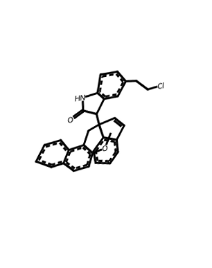 COc1ccc2ccccc2c1CC1(C2C(=O)Nc3ccc(CCCl)cc32)C=Cc2ccccc21